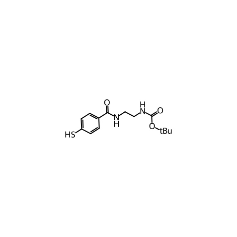 CC(C)(C)OC(=O)NCCNC(=O)c1ccc(S)cc1